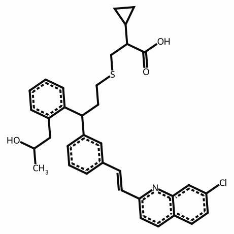 CC(O)Cc1ccccc1C(CCSCC(C(=O)O)C1CC1)c1cccc(C=Cc2ccc3ccc(Cl)cc3n2)c1